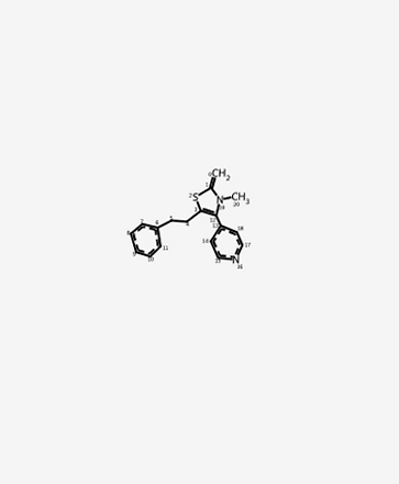 C=C1SC(CCc2ccccc2)=C(c2ccncc2)N1C